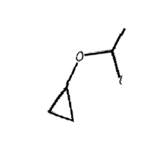 CC(I)OC1CC1